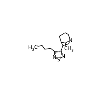 CCCCc1nsnc1C1CN2CCCC1C2C